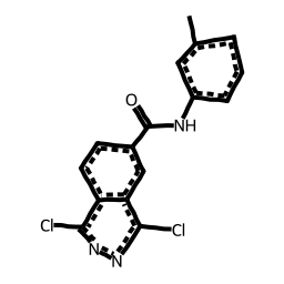 Cc1cccc(NC(=O)c2ccc3c(Cl)nnc(Cl)c3c2)c1